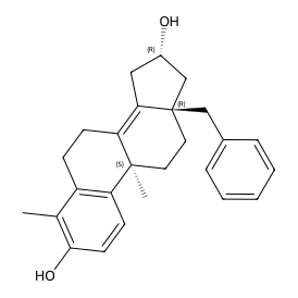 Cc1c(O)ccc2c1CCC1=C3C[C@H](O)C[C@]3(Cc3ccccc3)CC[C@]12C